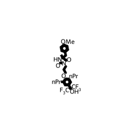 CCCc1cc(C(O)(C(F)(F)F)C(F)(F)F)cc(CCC)c1OCCCN1C(=O)NC(C)(Cc2ccc(OC)cc2)C1=O